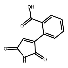 O=C1C=C(c2ccccc2C(=O)O)C(=O)N1